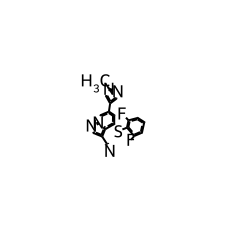 Cn1cc(-c2cc(Sc3c(F)cccc3F)c3c(C#N)cnn3c2)cn1